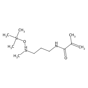 C=C(C)C(=O)NCCC[SiH](C)O[Si](C)(C)C